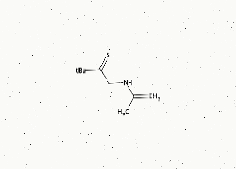 C=C(C)NCC(=S)C(C)(C)C